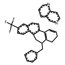 FC(F)(F)c1ccc2c3c(ccc2c1)C1=C(CCC=C1)C(Cc1ccccc1)C3.c1cnc2ccncc2c1